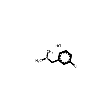 Cl.[CH2]N(C)Cc1cccc(Cl)c1